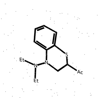 CCN(CC)N1CC(C(C)=O)Sc2ccccc21